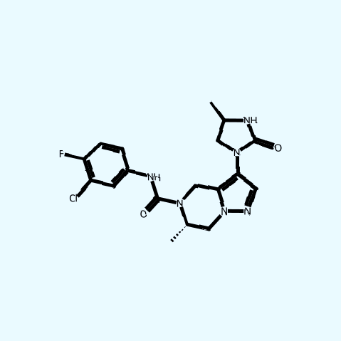 CC1CN(c2cnn3c2CN(C(=O)Nc2ccc(F)c(Cl)c2)[C@@H](C)C3)C(=O)N1